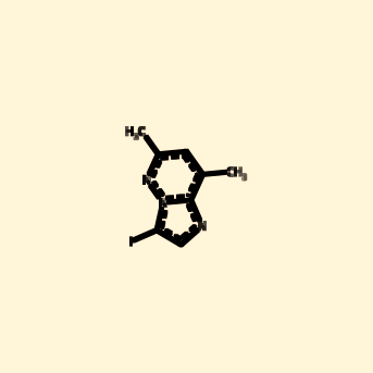 Cc1cc(C)c2ncc(I)n2n1